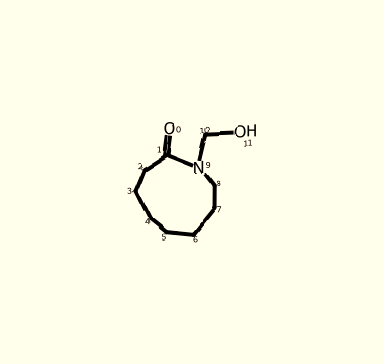 O=C1CCCCCCCN1CO